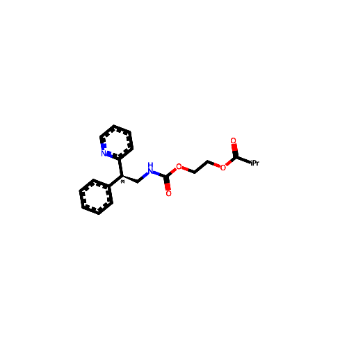 CC(C)C(=O)OCCOC(=O)NC[C@@H](c1ccccc1)c1ccccn1